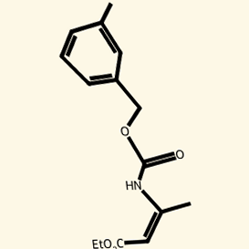 CCOC(=O)/C=C(/C)NC(=O)OCc1cccc(C)c1